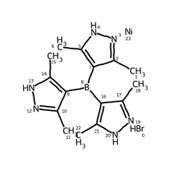 Br.Cc1n[nH]c(C)c1B(c1c(C)n[nH]c1C)c1c(C)n[nH]c1C.[Ni]